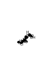 CC(C)Oc1ncc(-c2nc(-c3ccc(N[C@H]4CC[C@@H](C(=O)O)C4)cc3)no2)cc1Cl.CO